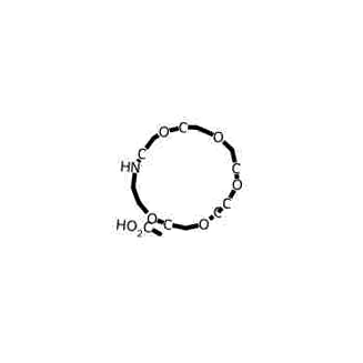 C1COCCOCCOCCOCCOCCN1.CC(=O)O